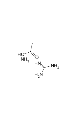 CC(=O)O.N.N=C(N)N